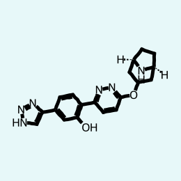 Oc1cc(-c2c[nH]nn2)ccc1-c1ccc(OC2C[C@H]3CC[C@@H](C2)N3)nn1